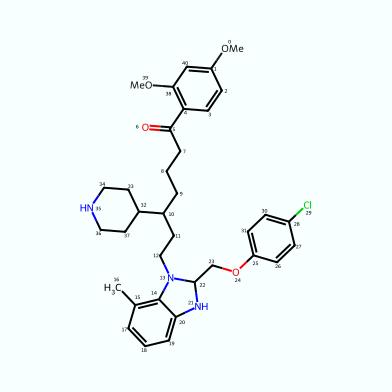 COc1ccc(C(=O)CCCC(CCN2c3c(C)cccc3NC2COc2ccc(Cl)cc2)C2CCNCC2)c(OC)c1